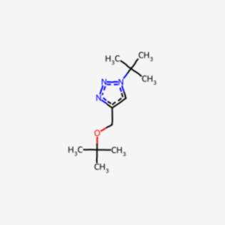 CC(C)(C)OCc1cn(C(C)(C)C)nn1